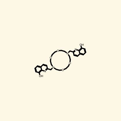 Oc1cccc2ccc(CN3CCOCCOCCN(Cc4ccc5cccc(O)c5n4)CCOCCOCC3)nc12